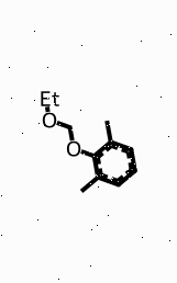 CCOCOc1c(C)cccc1C